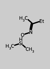 CCC(C)=NO[SiH](C)C